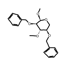 CO[C@H]1OC[C@@H](OCc2ccccc2)[C@H](OC)[C@H]1OCc1ccccc1